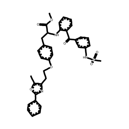 COC(=O)C(Cc1ccc(OCCc2nc(-c3ccccc3)oc2C)cc1)Nc1ccccc1C(=O)c1cccc(NS(C)(=O)=O)c1